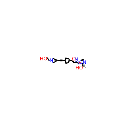 C[C@H](O)c1nccn1Cc1cc(-c2ccc(C#CC3C4CN(CCO)CC34)cc2)on1